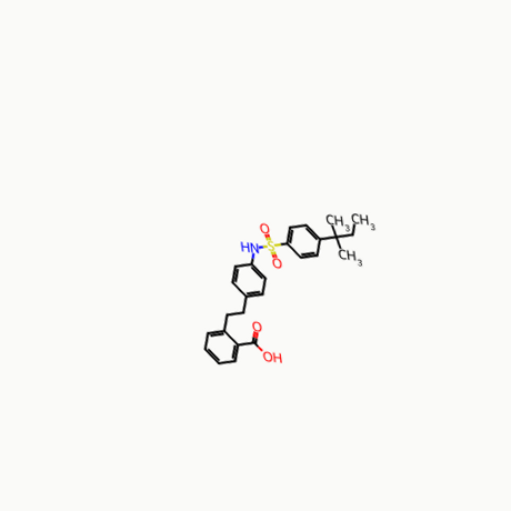 CCC(C)(C)c1ccc(S(=O)(=O)Nc2ccc(CCc3ccccc3C(=O)O)cc2)cc1